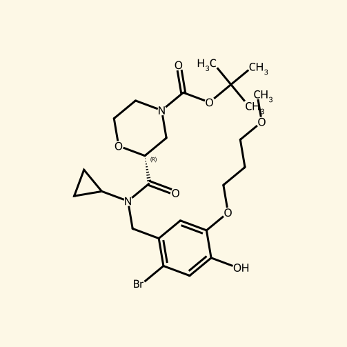 COCCCOc1cc(CN(C(=O)[C@H]2CN(C(=O)OC(C)(C)C)CCO2)C2CC2)c(Br)cc1O